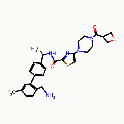 C[C@@H](NC(=O)c1nc(N2CCN(C(=O)C3COC3)CC2)cs1)c1ccc(-c2cc(C(F)(F)F)ccc2CN)cc1